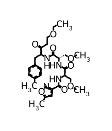 CCOCCC(=O)C(Cc1ccc(C)cc1)NC(=O)[C@H](COC)NC(=O)C(COC)NC(=O)c1cc(C)on1